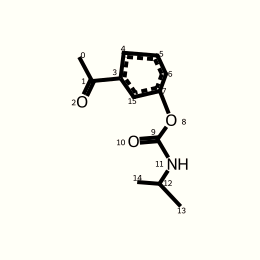 CC(=O)c1cccc(OC(=O)NC(C)C)c1